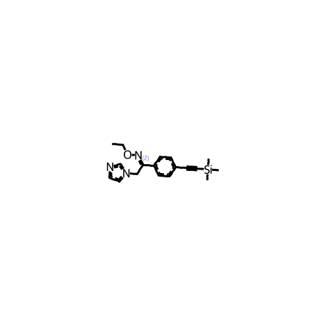 CCO/N=C(\Cn1ccnc1)c1ccc(C#C[Si](C)(C)C)cc1